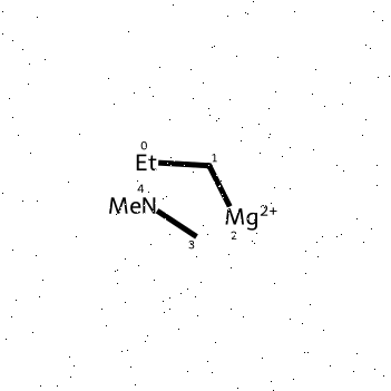 CC[CH2][Mg+2].CNC